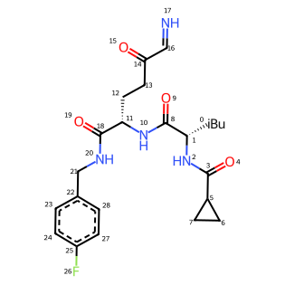 CCC(C)[C@H](NC(=O)C1CC1)C(=O)N[C@@H](CCC(=O)C=N)C(=O)NCc1ccc(F)cc1